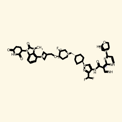 Cn1c(=O)n(C2CCC(=O)NC2=O)c2cccc(N3CC(CO[C@@H]4CCN(C[C@H]5CC[C@H](n6cc(NC(=O)/C(C=N)=C7\N=C(N8C[C@H]9CC8CO9)C=CN7)c(C(F)F)n6)CC5)C[C@@H]4F)C3)c21